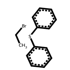 CCBr.c1ccc(Sc2ccccc2)cc1